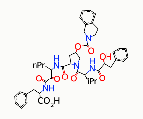 CCCC(NC(=O)C1C[C@@H](OC(=O)N2CCc3ccccc3C2)CN1C(=O)[C@@H](NC(=O)[C@@H](O)Cc1ccccc1)C(C)C)C(=O)C(=O)N[C@@H](Cc1ccccc1)C(=O)O